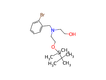 CC(C)(C)[Si](C)(C)OCCN(CCO)Cc1ccccc1Br